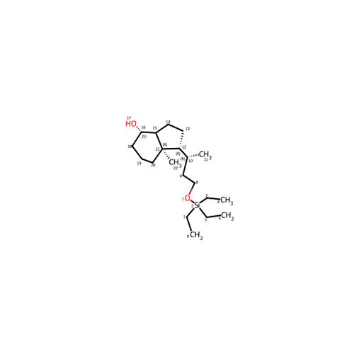 CC[Si](CC)(CC)OCC[C@@H](C)[C@H]1CCC2[C@@H](O)CCC[C@@]21C